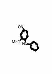 COc1cc(N=O)ccc1Nc1ccccc1